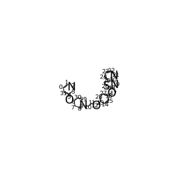 c1cncc(OC2CCN(CCOc3ccc(Oc4nc5ncccc5s4)cc3)CC2)c1